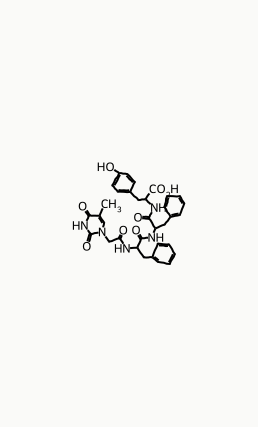 Cc1cn(CC(=O)NC(Cc2ccccc2)C(=O)NC(Cc2ccccc2)C(=O)NC(Cc2ccc(O)cc2)C(=O)O)c(=O)[nH]c1=O